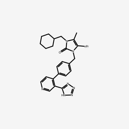 CCCc1c(C)n(CC2CCCCC2)c(=O)n1Cc1ccc(-c2ccncc2-c2nnn[nH]2)cc1